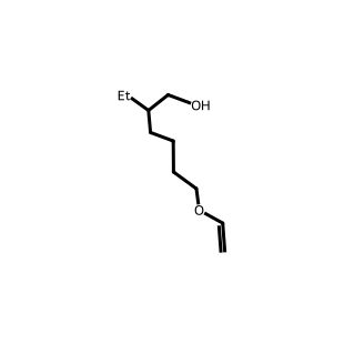 C=COCCCCC(CC)CO